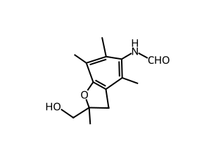 Cc1c(C)c2c(c(C)c1NC=O)CC(C)(CO)O2